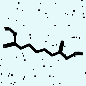 COCC(=O)CCCCCC(=O)OC(C)(C)C